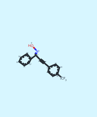 O/N=C(/C#Cc1ccc(C(F)(F)F)cc1)c1ccccc1